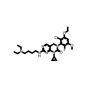 CCOc1cc(OC)c(F)c(N2Cc3cnc(NCCCCN(CC)CC)nc3N(C3CC3)C2=O)c1Cl